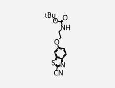 CC(C)(C)OC(=O)NCCOc1ccc2nc(C#N)sc2c1